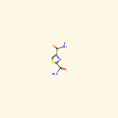 CNC(=O)c1csc(C(N)=O)n1